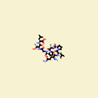 CC(C)C[C@H](NC(=O)[C@@H](NC(=O)CNC(=O)[C@@H]1CCCN1C(=O)[C@H](C)NC(=O)[C@@H]1CCCN1C(=O)[C@H](CC(C)C)NC(=O)[C@@H](N)CCC(N)=O)[C@@H](C)O)C(=O)O